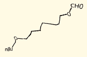 CCCCOCCCCCCOC=O